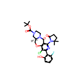 CC(C)(C)OC(=O)N1CCN2C(=O)c3c(N4C(=O)CCC4(C)C)nc(-c4c(O)cccc4F)c(Cl)c3OC[C@H]2C1